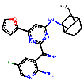 N=C(c1nc(NC2C3CCC(CC3)C2C(=O)O)cc(-c2ccco2)n1)c1cc(F)cnc1N